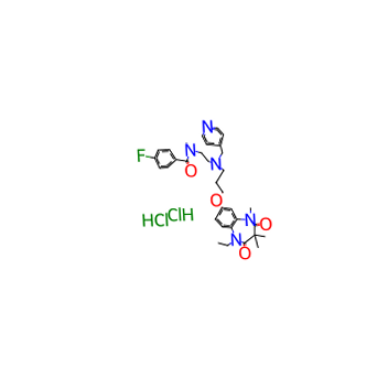 CCN1C(=O)C(C)(C)C(=O)N(C)c2cc(OCCCN(CCN(C)C(=O)c3ccc(F)cc3)Cc3ccncc3)ccc21.Cl.Cl